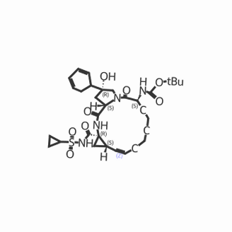 CC(C)(C)OC(=O)N[C@H]1CCCCC/C=C\[C@@H]2C[C@@]2(C(=O)NS(=O)(=O)C2CC2)NC(=O)[C@@H]2C[C@@](O)(C3C=CC=CC3)CN2C1=O